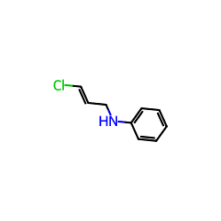 ClC=CCNc1ccccc1